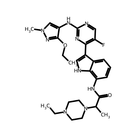 CCOc1nn(C)cc1Nc1ncc(F)c(-c2c[nH]c3c(NC(=O)C(C)N4CCN(CC)CC4)cccc23)n1